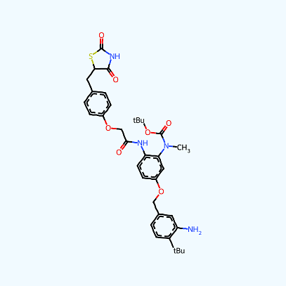 CN(C(=O)OC(C)(C)C)c1cc(OCc2ccc(C(C)(C)C)c(N)c2)ccc1NC(=O)COc1ccc(CC2SC(=O)NC2=O)cc1